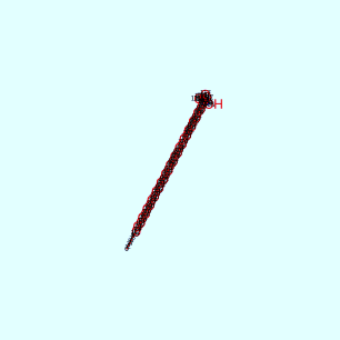 CCCCCCCCCCCCOCCOCCOCCOCCOCCOCCOCCOCCOCCOCCOCCOCCOCCOCCOCCOCCOCCOCCOCCOCCOCCOCCOCCOCCOCCOCCOCCOCCOCCOCCN(CCO)C(=O)c1cc(OC)ccc1OC